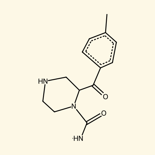 Cc1ccc(C(=O)C2CNCCN2C([NH])=O)cc1